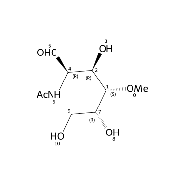 CO[C@@H]([C@H](O)[C@H](C=O)NC(C)=O)[C@H](O)CO